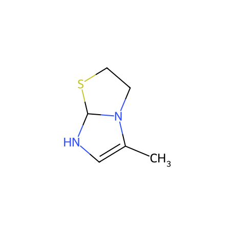 CC1=CNC2SCCN12